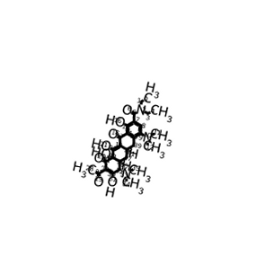 CCN(CC)C(=O)c1cc(N(C)C)c2c(c1O)C(=O)C1=C(O)[C@]3(O)C(=O)C(C(C)=O)=C(O)[C@@H](N(C)C)[C@@H]3C[C@@H]1C2